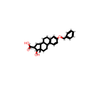 CC12CCC3c4ccc(OCc5ccccc5)cc4CCC3C1CC(C(=O)O)C2O